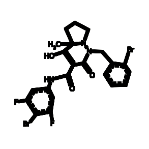 CC12CCCN1N(Cc1ccccc1Br)C(=O)C(C(=O)Nc1cc(F)c(Br)c(F)c1)=C2O